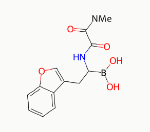 CNC(=O)C(=O)NC(Cc1coc2ccccc12)B(O)O